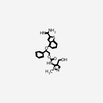 Cn1ncc(CO)c1NC(=O)OCC(Oc1cccc2sc(C(=N)N)cc12)c1ccccc1